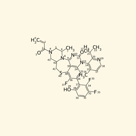 C=CC(=O)N1CC(C)N2c3nc(=O)n(-c4c(C)ccnc4C(C)C)c4cc(-c5c(O)ccc(F)c5F)c(F)c(c34)SCC2C1